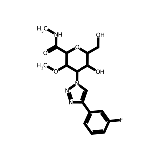 CNC(=O)C1OC(CO)C(O)C(n2cc(-c3cccc(F)c3)nn2)C1OC